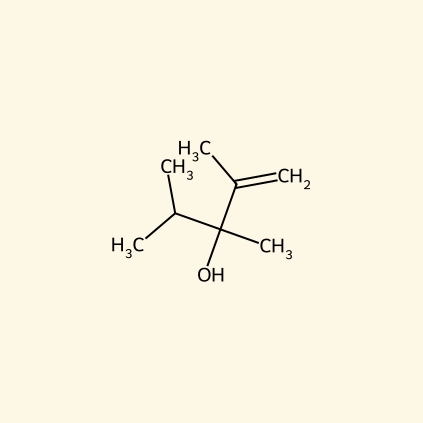 C=C(C)C(C)(O)C(C)C